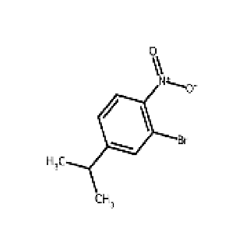 CC(C)c1ccc([N+](=O)[O-])c(Br)c1